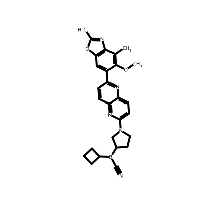 COc1c(-c2ccc3nc(N4CCC(B(C#N)C5CCC5)C4)ccc3n2)cc2oc(C)nc2c1C